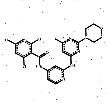 Cc1cc(Nc2cc(NC(=O)c3c(Cl)cc(Cl)cc3Cl)ccn2)nc(N2CCOCC2)n1